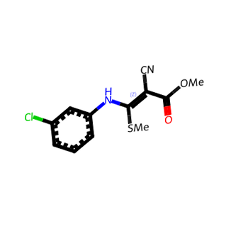 COC(=O)/C(C#N)=C(/Nc1cccc(Cl)c1)SC